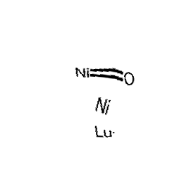 [Lu].[Ni].[O]=[Ni]